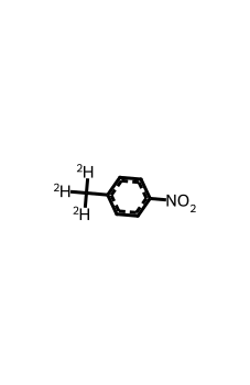 [2H]C([2H])([2H])c1ccc([N+](=O)[O-])cc1